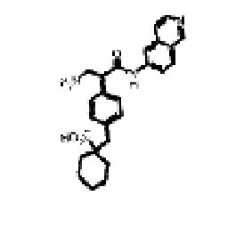 NCC(C(=O)Nc1ccc2cnccc2c1)c1ccc(CC2(C(=O)O)CCCCC2)cc1